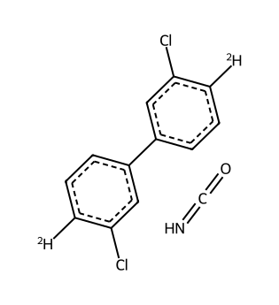 N=C=O.[2H]c1ccc(-c2ccc([2H])c(Cl)c2)cc1Cl